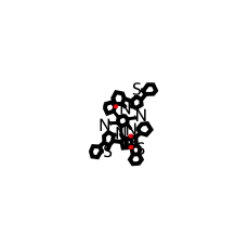 N#Cc1c(-c2ccccc2)c(-n2c3ccccc3c3c4sc5ccccc5c4ccc32)c(C#N)c(-n2c3ccccc3c3c4sc5ccccc5c4ccc32)c1-n1c2ccccc2c2c3sc4ccccc4c3ccc21